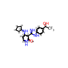 N=C(Nc1ccc(C(O)C(F)(F)F)cc1)c1c(NC2CCCC2)cc[nH]c1=O